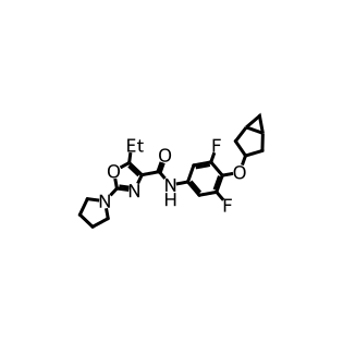 CCc1oc(N2CCCC2)nc1C(=O)Nc1cc(F)c(OC2CC3CC3C2)c(F)c1